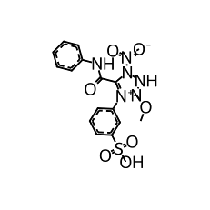 CON1NN([N+](=O)[O-])C(C(=O)Nc2ccccc2)=[N+]1c1cccc(S(=O)(=O)O)c1